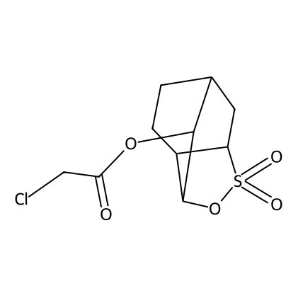 O=C(CCl)OC1C2CCC3C1OS(=O)(=O)C3C2